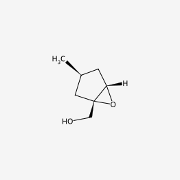 C[C@H]1C[C@@H]2O[C@]2(CO)C1